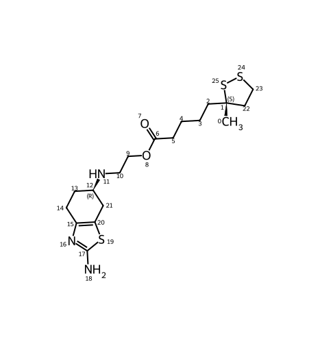 C[C@]1(CCCCC(=O)OCCN[C@@H]2CCc3nc(N)sc3C2)CCSS1